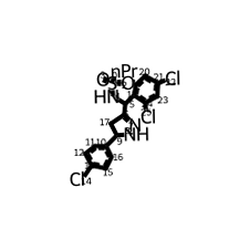 CCCS(=O)(=O)NC(C1=NNC(c2ccc(Cl)cc2)C1)c1ccc(Cl)cc1Cl